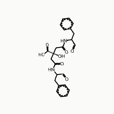 O=CC(Cc1ccccc1)NC(=O)CC(O)(CC(=O)NC(C=O)Cc1ccccc1)C(=O)O